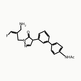 CC(=O)Nc1ccc(-c2cccc(C3C=NN(C/C(=C\F)CN)C3=O)c2)cc1